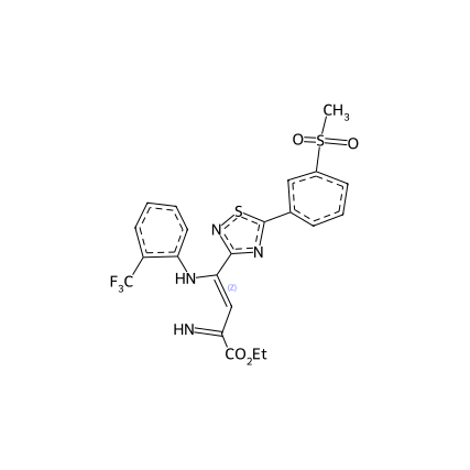 CCOC(=O)C(=N)/C=C(\Nc1ccccc1C(F)(F)F)c1nsc(-c2cccc(S(C)(=O)=O)c2)n1